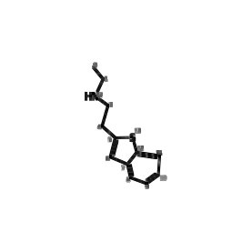 CCNCCc1cc2ccccc2s1